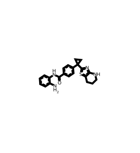 Nc1ccccc1NC(=O)c1ccc(C2(c3nc4c(s3)CCCN4)CC2)cc1